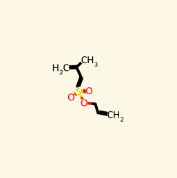 C=CCOS(=O)(=O)C=CC(=C)C